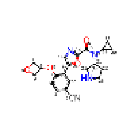 N#Cc1ccc(OC2COC2)c(-c2cnc(C(=O)N(C3CC3)[C@@H]3CCNC3)o2)c1